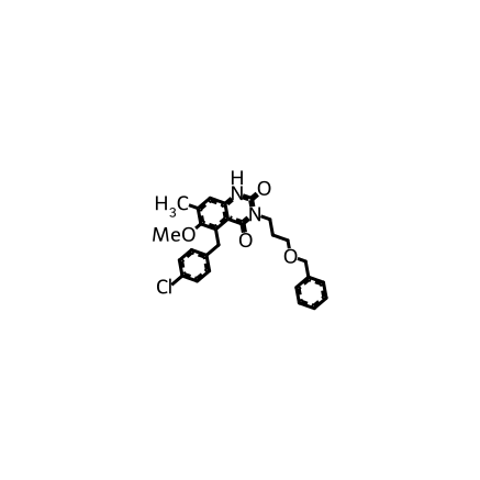 COc1c(C)cc2[nH]c(=O)n(CCCOCc3ccccc3)c(=O)c2c1Cc1ccc(Cl)cc1